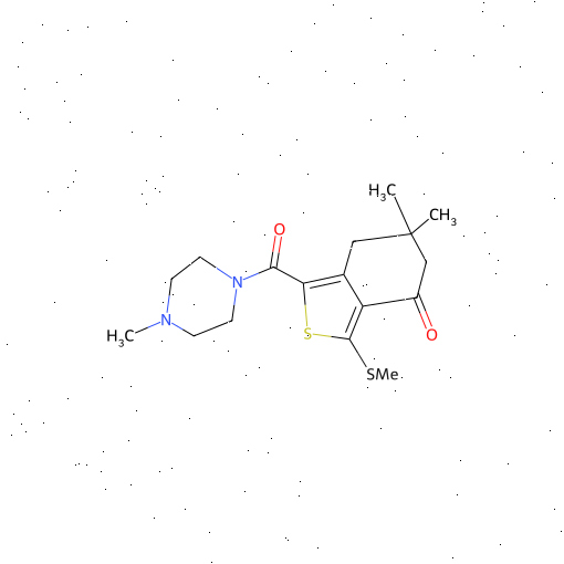 CSc1sc(C(=O)N2CCN(C)CC2)c2c1C(=O)CC(C)(C)C2